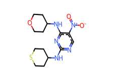 O=[N+]([O-])c1cnc(NC2CCSCC2)nc1NC1CCOCC1